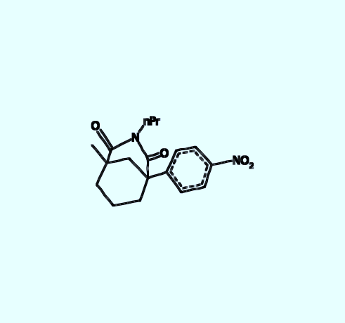 CCCN1C(=O)C2(C)CCCC(c3ccc([N+](=O)[O-])cc3)(C2)C1=O